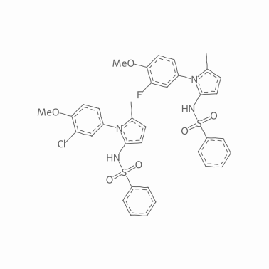 COc1ccc(-n2c(C)ccc2NS(=O)(=O)c2ccccc2)cc1Cl.COc1ccc(-n2c(C)ccc2NS(=O)(=O)c2ccccc2)cc1F